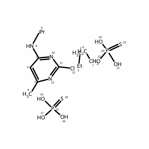 CC.CCC.Cc1cc(NC(C)C)nc(Cl)n1.OP(O)(O)=S.OP(O)(O)=S